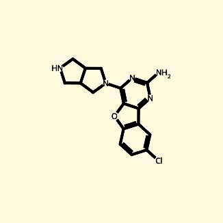 Nc1nc(N2CC3CNCC3C2)c2oc3ccc(Cl)cc3c2n1